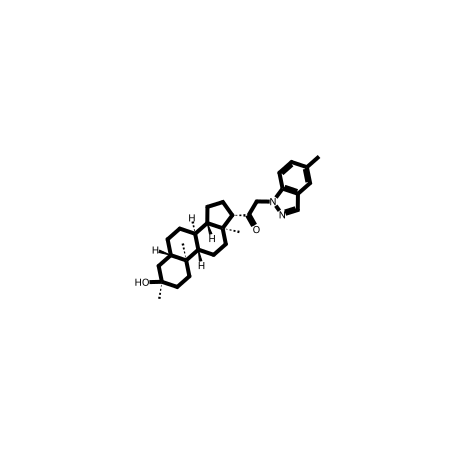 Cc1ccc2c(cnn2CC(=O)[C@H]2CC[C@H]3[C@@H]4CC[C@H]5C[C@](C)(O)CC[C@]5(C)[C@H]4CC[C@]23C)c1